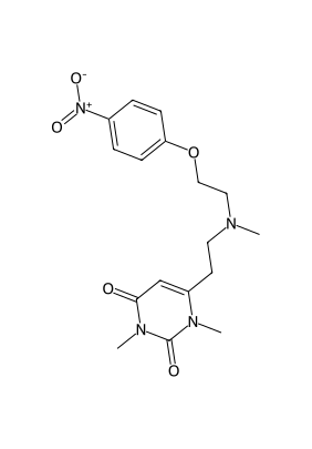 CN(CCOc1ccc([N+](=O)[O-])cc1)CCc1cc(=O)n(C)c(=O)n1C